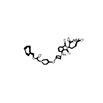 O=C1CCC(N2C(=O)c3cccc(N[C@H]4C[C@H](OC5CCN(CC(=O)OCc6ccccc6)CC5)C4)c3C2=O)C(=O)N1